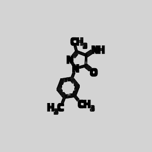 CC1=NN(c2ccc(C)c(C)c2)C(=O)C1=N